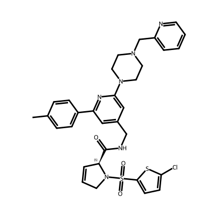 Cc1ccc(-c2cc(CNC(=O)[C@@H]3C=CCN3S(=O)(=O)c3ccc(Cl)s3)cc(N3CCN(Cc4ccccn4)CC3)n2)cc1